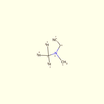 [2H]C([2H])([2H])N(C)CC#N